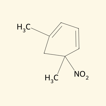 CC1=CC=CC(C)([N+](=O)[O-])C1